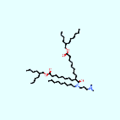 CCCCCCCCCN(CCCN(C)C)C(=O)C(CCCCCCCC(=O)OCC(CCCC)CCCC)CCCCCCCC(=O)OCC(CCCC)CCCCCC